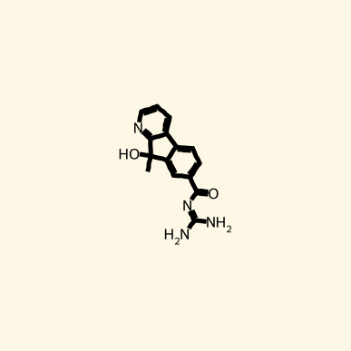 CC1(O)c2cc(C(=O)N=C(N)N)ccc2-c2cccnc21